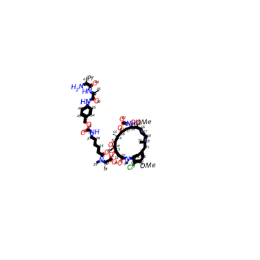 COc1cc2cc(c1Cl)N(C)C(=O)CC(OC(=O)[C@H](C)N(C)C(=O)CCCCCNC(=O)OCc1ccc(NC(=O)[C@H](C)NC(=O)[C@@H](N)C(C)C)cc1)[C@]1(C)OC1[C@H](C)C1C[C@@](O)(NC(=O)O1)[C@H](OC)/C=C/C=C(\C)C2